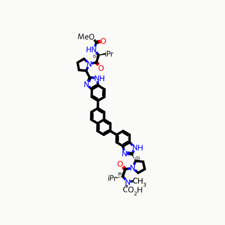 COC(=O)N[C@H](C(=O)N1CCCC1c1nc2cc(-c3ccc4ccc(-c5ccc6[nH]c([C@@H]7CCCN7C(=O)[C@@H](C(C)C)N(C)C(=O)O)nc6c5)cc4c3)ccc2[nH]1)C(C)C